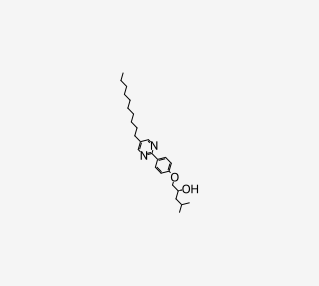 CCCCCCCCCCc1cnc(-c2ccc(OC[C@@H](O)CC(C)C)cc2)nc1